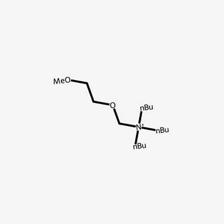 CCCC[N+](CCCC)(CCCC)COCCOC